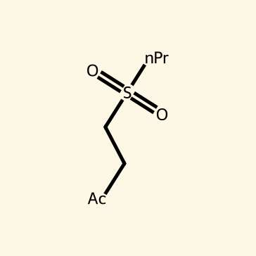 CCCS(=O)(=O)CCC(C)=O